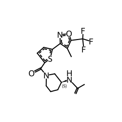 C=C(C)N[C@H]1CCCN(C(=O)c2ccc(-c3noc(C(F)(F)F)c3C)s2)C1